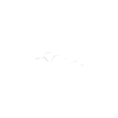 C#Cc1ccc(CSSCCOCC)cc1